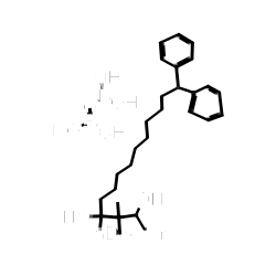 CCCCCCCCCCC(O)(CCCCCCCCCC(c1ccccc1)c1ccccc1)C(C)(C)C(O)C(C)C.OP(O)OP(O)O